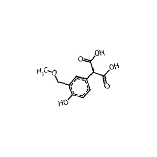 COCc1cc(C(C(=O)O)C(=O)O)ccc1O